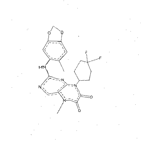 Cc1cc2c(cc1Nc1ncc3c(n1)n(C1CCC(F)(F)CC1)c(=O)c(=O)n3C)OCO2